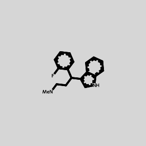 CNCCC(c1ccccc1F)c1c[nH]c2ccccc12